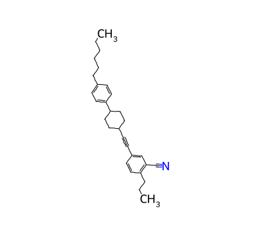 CCCCCCc1ccc(C2CCC(C#Cc3ccc(CCC)c(C#N)c3)CC2)cc1